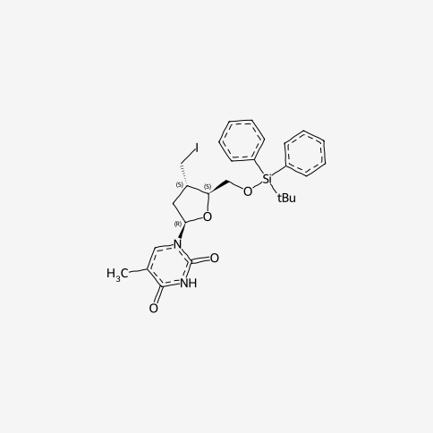 Cc1cn([C@H]2C[C@H](CI)[C@@H](CO[Si](c3ccccc3)(c3ccccc3)C(C)(C)C)O2)c(=O)[nH]c1=O